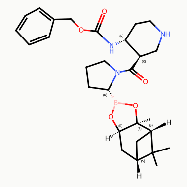 CC1(C)[C@@H]2C[C@H]3OB([C@@H]4CCCN4C(=O)[C@@H]4CNCC[C@H]4NC(=O)OCc4ccccc4)O[C@@]3(C)[C@H]1C2